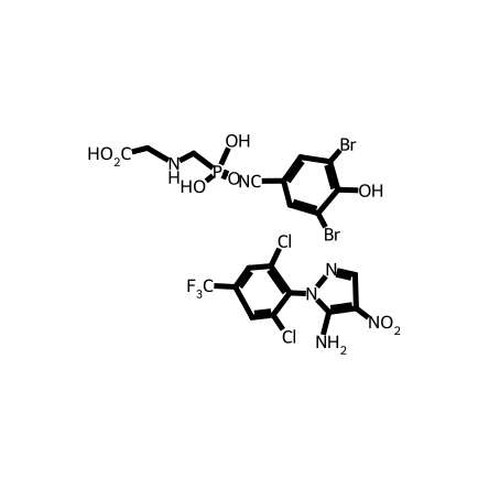 N#Cc1cc(Br)c(O)c(Br)c1.Nc1c([N+](=O)[O-])cnn1-c1c(Cl)cc(C(F)(F)F)cc1Cl.O=C(O)CNCP(=O)(O)O